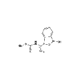 C[C@@H](NC(=O)OC(C)(C)C)C1OB(O)c2ccccc21